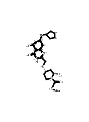 CC(C)(C)OC(=O)N1CC[C@H](SCc2nc3cc(NC4CCCC4)cc(F)c3c(=O)[nH]2)C[C@H]1C(F)(F)F